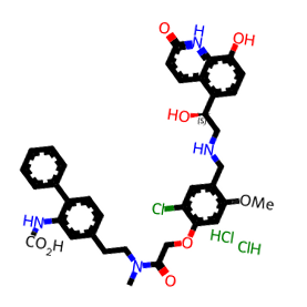 COc1cc(OCC(=O)N(C)CCc2ccc(-c3ccccc3)c(NC(=O)O)c2)c(Cl)cc1CNC[C@@H](O)c1ccc(O)c2[nH]c(=O)ccc12.Cl.Cl